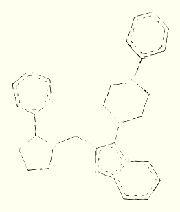 c1ccc(C2CCCN2Cc2nc3ccccn3c2N2CCN(c3ccncc3)CC2)nc1